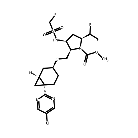 COC(=O)N1[C@H](C(F)F)C[C@H](NS(=O)(=O)CF)[C@@H]1CO[C@H]1CC[C@@]2(c3ncc(Cl)cn3)C[C@H]2C1